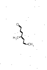 C\C=C/C=C(C)/C=C/C=O